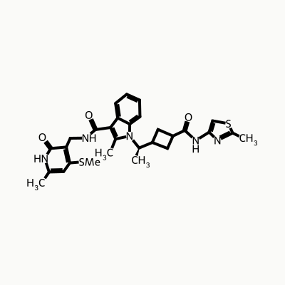 CSc1cc(C)[nH]c(=O)c1CNC(=O)c1c(C)n([C@H](C)C2CC(C(=O)Nc3csc(C)n3)C2)c2ccccc12